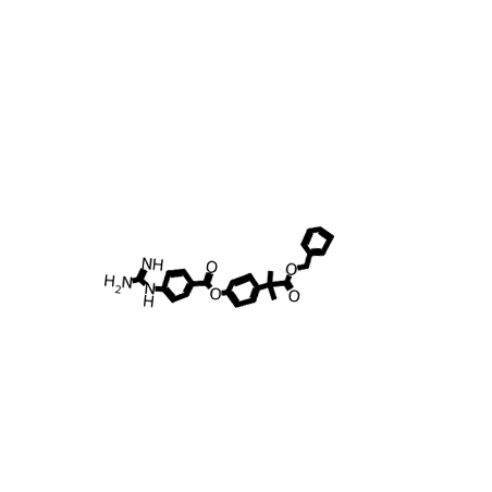 CC(C)(C(=O)OCc1ccccc1)c1ccc(OC(=O)c2ccc(NC(=N)N)cc2)cc1